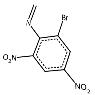 C=Nc1c(Br)cc([N+](=O)[O-])cc1[N+](=O)[O-]